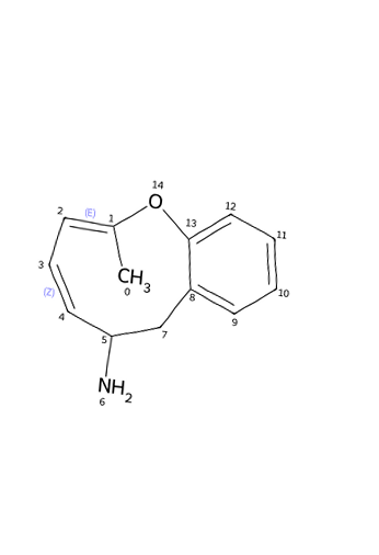 C/C1=C\C=C/C(N)Cc2ccccc2O1